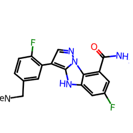 CNCc1ccc(F)c(-c2cnn3c2[nH]c2cc(F)cc(C(N)=O)c23)c1